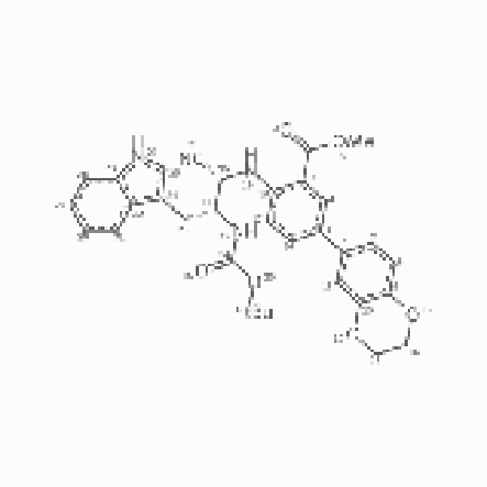 COC(=O)c1cc(-c2ccc3c(c2)OCCO3)ccc1N[C@@H](C#N)[C@@H](Cc1c[nH]c2ccccc12)NC(=O)OC(C)(C)C